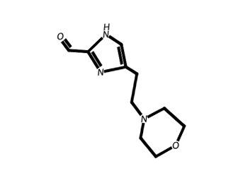 O=Cc1nc(CCN2CCOCC2)c[nH]1